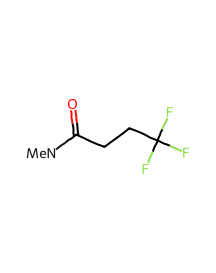 [CH2]NC(=O)CCC(F)(F)F